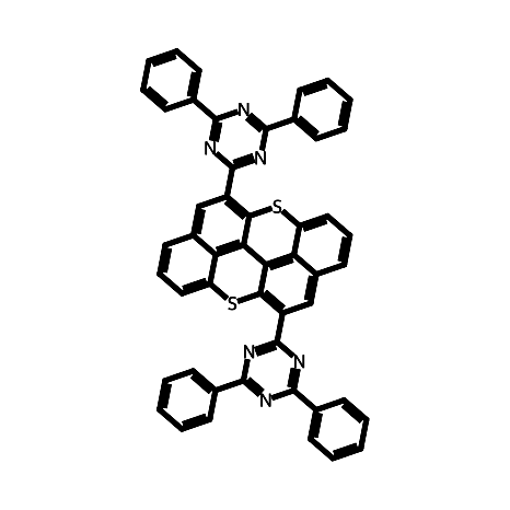 c1ccc(-c2nc(-c3ccccc3)nc(-c3cc4cccc5sc6c(-c7nc(-c8ccccc8)nc(-c8ccccc8)n7)cc7cccc8sc3c(c45)-c6c78)n2)cc1